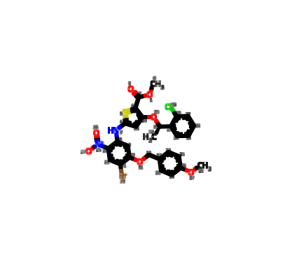 COC(=O)c1sc(Nc2cc(OCc3ccc(OC)cc3)c(Br)cc2[N+](=O)[O-])cc1O[C@H](C)c1ccccc1Cl